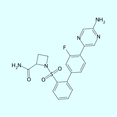 NC(=O)C1CCN1S(=O)(=O)c1ccccc1-c1ccc(-c2cnc(N)cn2)c(F)c1